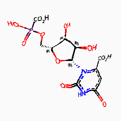 O=C(O)c1cc(=O)[nH]c(=O)n1[C@@H]1O[C@H](COP(=O)(O)C(=O)O)[C@@H](O)[C@H]1O